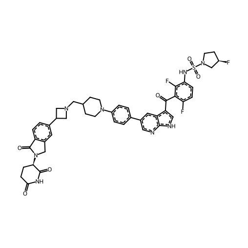 O=C1CC[C@@H](N2Cc3cc(C4CN(CC5CCN(c6ccc(-c7cnc8[nH]cc(C(=O)c9c(F)ccc(NS(=O)(=O)N%10CC[C@@H](F)C%10)c9F)c8c7)cc6)CC5)C4)ccc3C2=O)C(=O)N1